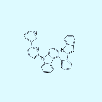 c1cncc(-c2cccc(-n3c4ccccc4c4c5c6ccccc6c6cc7ccccc7n6c5ccc43)n2)c1